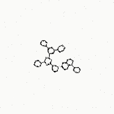 c1ccc(-c2cc(-c3ccccc3)cc(-c3nc(-c4ccccc4)nc(-c4cccc(-c5ccc6c(-c7ccccc7)cccc6c5)c4)n3)c2)cc1